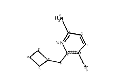 Nc1ccc(Br)c(CC2CCC2)n1